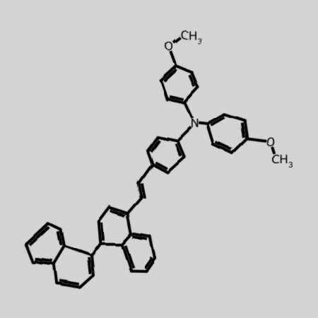 COc1ccc(N(c2ccc(C=Cc3ccc(-c4cccc5ccccc45)c4ccccc34)cc2)c2ccc(OC)cc2)cc1